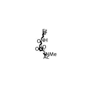 CCOCCCNC(=O)CCN1C(=O)CC(SC[C@H](NC)C(C)=O)C1=O